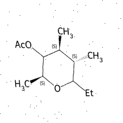 CCC1O[C@@H](C)C(OC(C)=O)[C@@H](C)[C@@H]1C